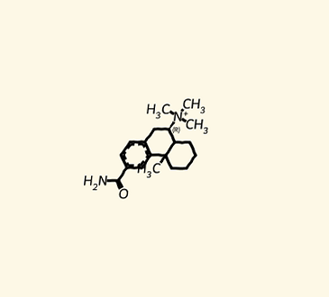 CC12CCCCC1[C@H]([N+](C)(C)C)Cc1ccc(C(N)=O)cc12